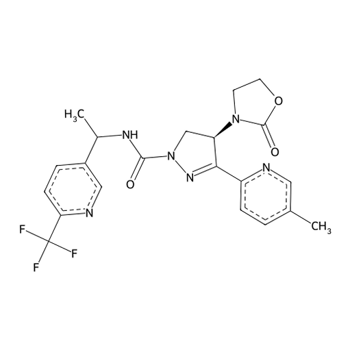 Cc1ccc(C2=NN(C(=O)NC(C)c3ccc(C(F)(F)F)nc3)C[C@H]2N2CCOC2=O)nc1